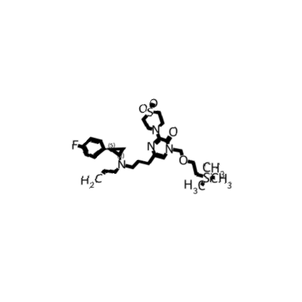 C=CCN(CCCc1cn(COCC[Si](C)(C)C)c(=O)c(N2CCS(=O)(=O)CC2)n1)[C@@H]1C[C@H]1c1ccc(F)cc1